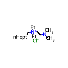 CCCCCCCC[N+](CC)(CC)CCN(C)C.[Cl-]